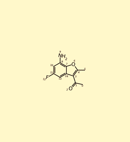 CC(=O)c1c(C)oc2c(N)cc(F)cc12